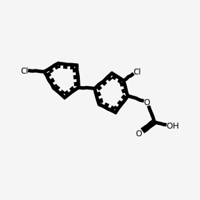 O=C(O)Oc1ccc(-c2ccc(Cl)cc2)cc1Cl